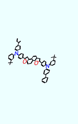 C=CC(=C)c1ccc(N(c2ccc(-c3cc4c(ccc5c4ccc4cc(-c6ccc(N(c7ccc(-c8ccccc8)cc7)c7cccc(C(C)(C)C)c7)cc6)oc45)o3)cc2)c2cccc(C(C)(C)C)c2)cc1